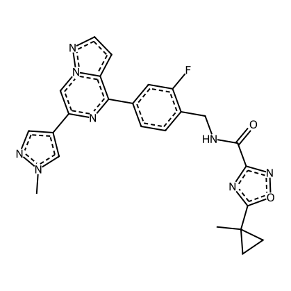 Cn1cc(-c2cn3nccc3c(-c3ccc(CNC(=O)c4noc(C5(C)CC5)n4)c(F)c3)n2)cn1